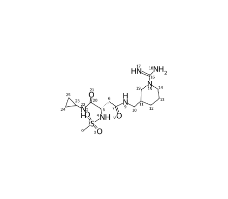 CS(=O)(=O)N[C@@H](CC(=O)NCC1CCCN(C(=N)N)C1)C(=O)NC1CC1